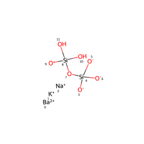 [Ba+2].[K+].[Na+].[O-][Si]([O-])([O-])O[Si]([O-])(O)O